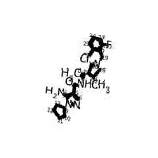 C=C(NC(=O)c1cnn(C2CCCC2)c1N)[C@@H]1CN(Cc2c(F)cccc2Cl)C[C@H]1C